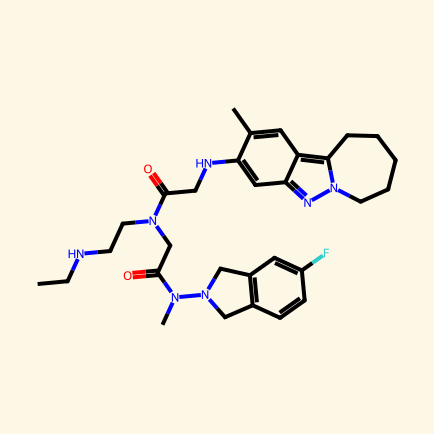 CCNCCN(CC(=O)N(C)N1Cc2ccc(F)cc2C1)C(=O)CNc1cc2nn3c(c2cc1C)CCCCC3